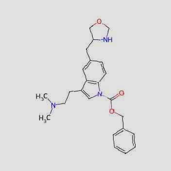 CN(C)CCc1cn(C(=O)OCc2ccccc2)c2ccc(CC3COCN3)cc12